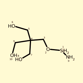 N[SiH2]OCC(CO)(CO)CO